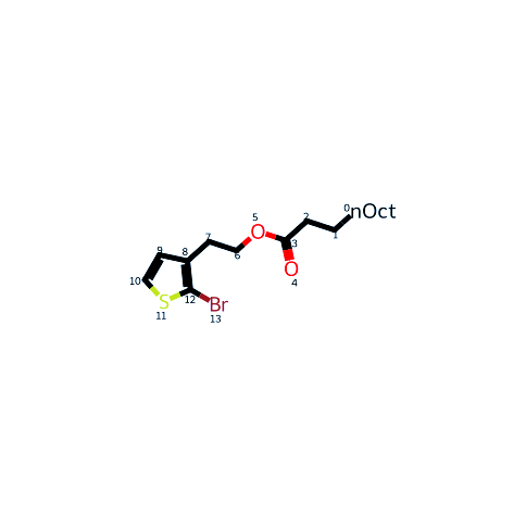 CCCCCCCCCCC(=O)OCCc1ccsc1Br